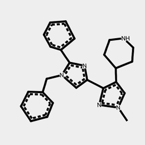 Cn1cc(C2CCNCC2)c(-c2cn(Cc3ccccc3)c(-c3ccccc3)n2)n1